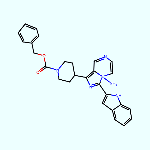 N[N+]12C=CN=CC1=C(C1CCN(C(=O)OCc3ccccc3)CC1)N=C2c1cc2ccccc2[nH]1